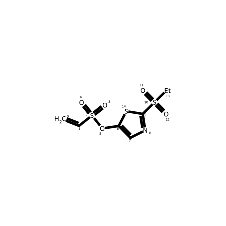 C=CS(=O)(=O)Oc1cnc(S(=O)(=O)CC)s1